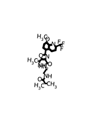 COc1ccc(-c2nc(C(=O)NCCNC(=O)C(C)C)c([C@H](C)N)o2)c2ccc(C(F)(F)F)nc12